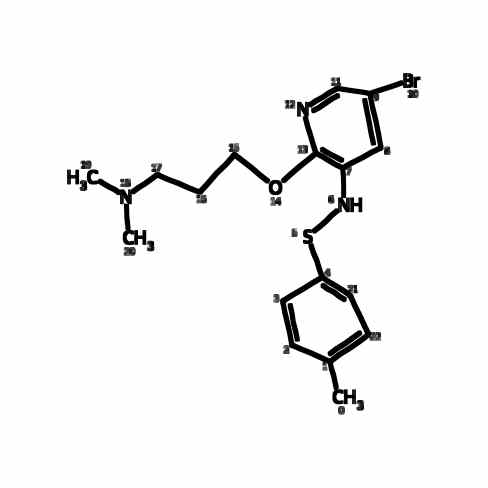 Cc1ccc(SNc2cc(Br)cnc2OCCCN(C)C)cc1